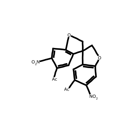 CC(=O)c1cc2c(cc1[N+](=O)[O-])OCC21COc2cc([N+](=O)[O-])c(C(C)=O)cc21